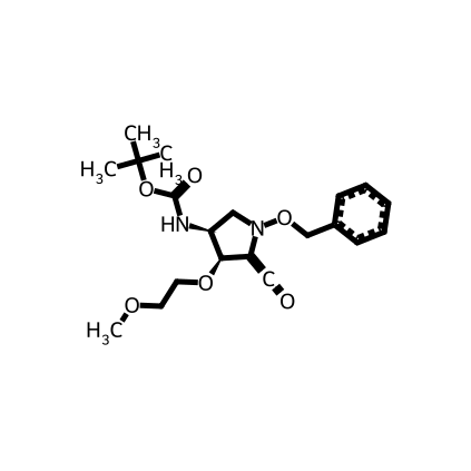 COCCO[C@@H]1C(=C=O)N(OCc2ccccc2)C[C@@H]1NC(=O)OC(C)(C)C